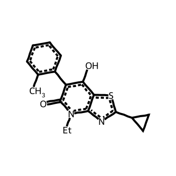 CCn1c(=O)c(-c2ccccc2C)c(O)c2sc(C3CC3)nc21